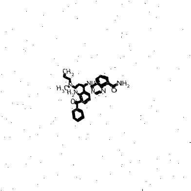 C=CCN(C)CCC(Nc1ncnc2c(C(N)=O)cccc12)c1cccc(C(=O)c2ccccc2)c1N